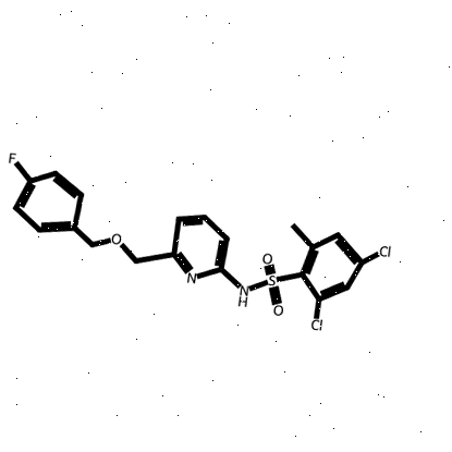 Cc1cc(Cl)cc(Cl)c1S(=O)(=O)Nc1cccc(COCc2ccc(F)cc2)n1